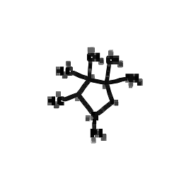 CC1N(P)CC(C)(N)C1(C)C